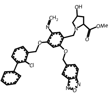 C=Nc1cc(CN2CC(O)CC2C(=O)OC)c(OCc2ccc3nonc3c2)cc1OCc1cccc(-c2ccccc2)c1Cl